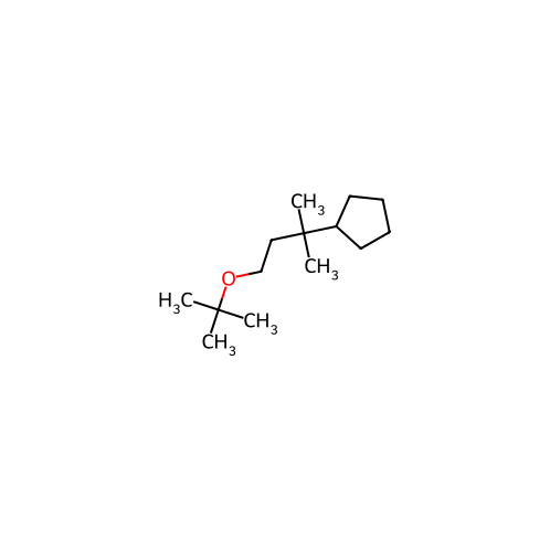 CC(C)(C)OCCC(C)(C)C1CCCC1